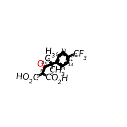 CC(C)(C(=O)C(C(=O)O)C(=O)O)c1ccc(C(F)(F)F)cc1